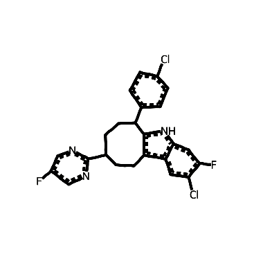 Fc1cnc(C2CCc3c([nH]c4cc(F)c(Cl)cc34)C(c3ccc(Cl)cc3)CC2)nc1